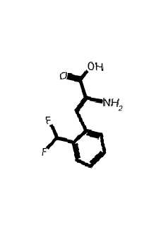 NC(Cc1ccccc1C(F)F)C(=O)O